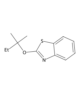 CCC(C)(C)Oc1nc2ccccc2s1